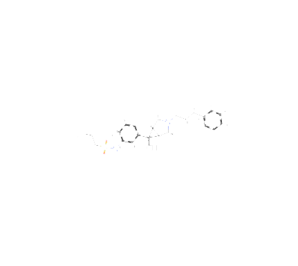 CCCS(=O)(=O)Nc1cccc(C2(C)C3CN(CCCc4ccccc4)CC32)c1